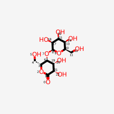 O=C1O[C@H](CO)[C@H](O[C@@H]2O[C@H](CO)[C@H](O)[C@H](O)[C@@H]2O)[C@H](O)[C@@H]1O